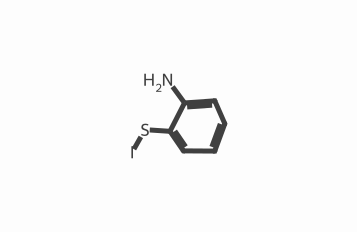 Nc1ccccc1SI